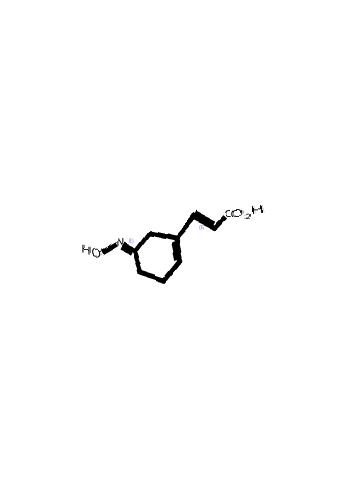 O=C(O)/C=C/C1=CCC/C(=N\O)C1